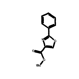 CC(C)(C)OC(=O)c1coc(-c2ccccc2)n1